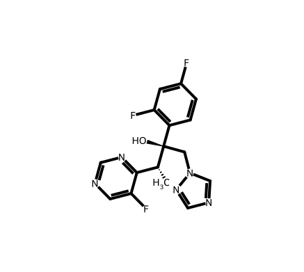 C[C@H](c1ncncc1F)[C@@](O)(Cn1cncn1)c1ccc(F)cc1F